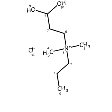 CCC[N+](C)(C)CCC(O)O.[Cl-]